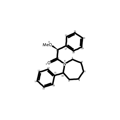 CO[C@H](C(=O)N1CCCCCC1c1ccccc1)c1ccccc1